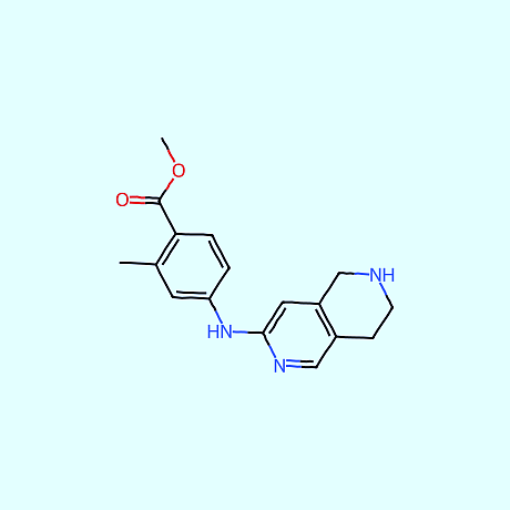 COC(=O)c1ccc(Nc2cc3c(cn2)CCNC3)cc1C